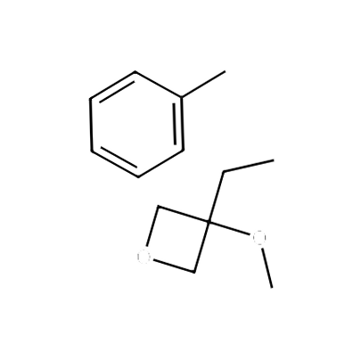 CCC1(OC)COC1.Cc1ccccc1